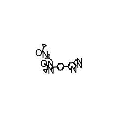 Cn1ncc2cc(-c3ccc(C4=NC5(CC5)C(=O)N4CC4CN(C(=O)C5CC5)C4)cc3)cnc21